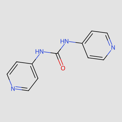 O=C(Nc1ccncc1)Nc1ccncc1